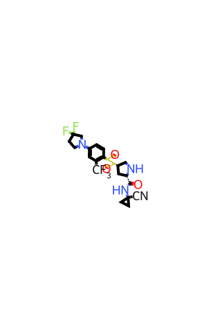 N#CC1(NC(=O)[C@@H]2C[C@@H](S(=O)(=O)c3ccc(N4CCC(F)(F)C4)cc3C(F)(F)F)CN2)CC1